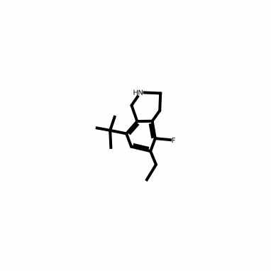 CCc1cc(C(C)(C)C)c2c(c1F)CCNC2